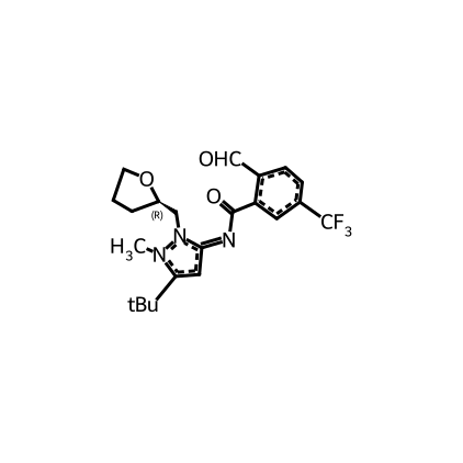 Cn1c(C(C)(C)C)cc(=NC(=O)c2cc(C(F)(F)F)ccc2C=O)n1C[C@H]1CCCO1